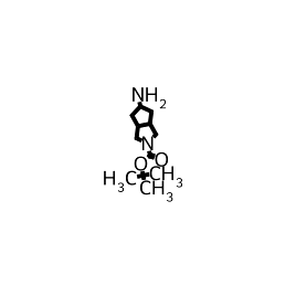 CC(C)(C)OC(=O)N1CC2CC(N)CC2C1